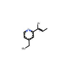 C/C=C(/c1cc(CC(C)(C)C)ccn1)C(C)C